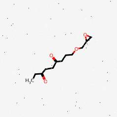 CCC(=O)CCC(=O)CCCOCC1CO1